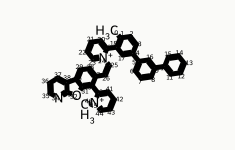 Cc1ccc(-c2cccc(-c3ccccc3)c2)cc1-c1cccc[n+]1/C=C\c1ccc2c(oc3ncccc32)c1-c1cccc[n+]1C